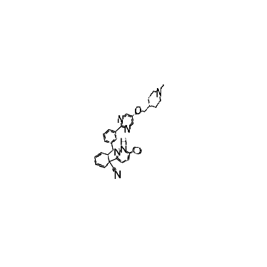 CN1CCC(COc2cnc(-c3cccc(CC4C=CC=CC4(C#N)c4ccc(=O)[nH]n4)c3)nc2)CC1